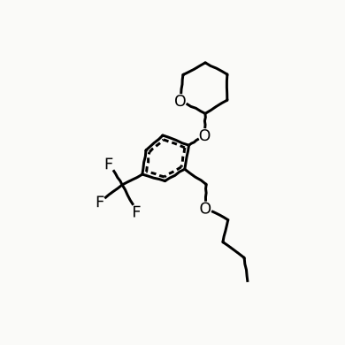 CCCCOCc1cc(C(F)(F)F)ccc1OC1CCCCO1